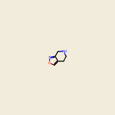 c1onc2c1CCNC2